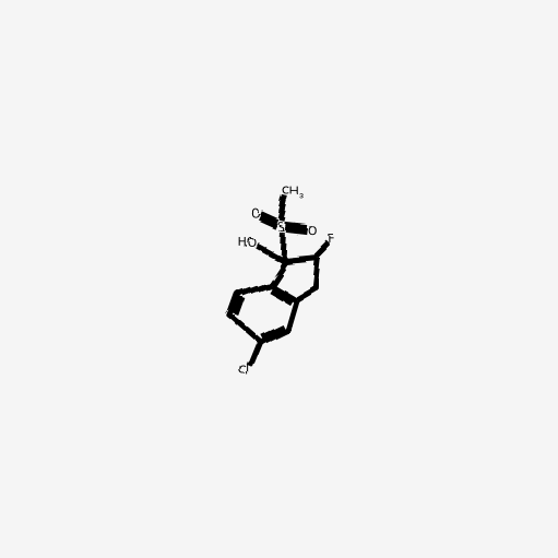 CS(=O)(=O)C1(O)c2ccc(Cl)cc2CC1F